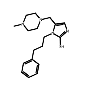 CN1CCN(Cc2cnc(S)n2CCCc2ccccc2)CC1